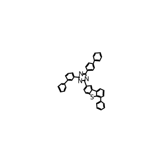 c1ccc(-c2ccc(-c3nc(-c4cccc(-c5ccccc5)c4)nc(-c4ccc5sc6c(-c7ccccc7)cccc6c5c4)n3)cc2)cc1